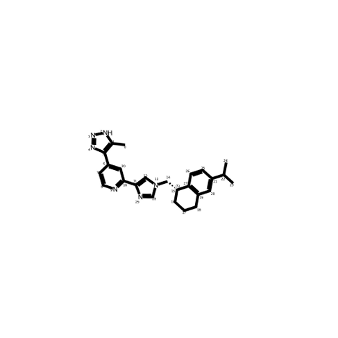 Cc1[nH]nnc1-c1ccnc(-c2cn(C[C@H]3CCCc4cc(C(C)C)ccc43)cn2)c1